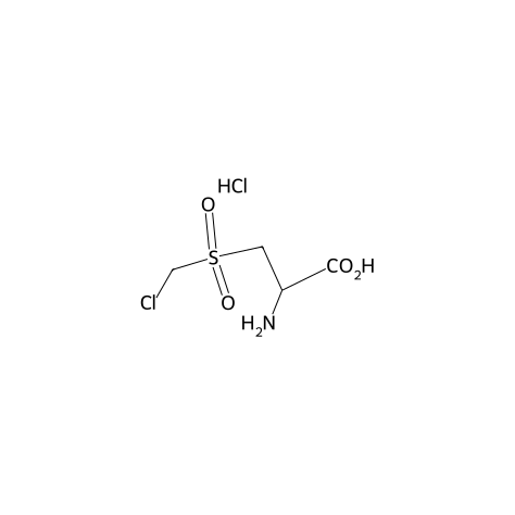 Cl.NC(CS(=O)(=O)CCl)C(=O)O